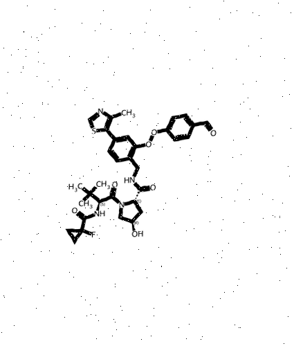 Cc1ncsc1-c1ccc(CNC(=O)[C@@H]2C[C@@H](O)CN2C(=O)[C@@H](NC(=O)C2(F)CC2)C(C)(C)C)c(OOc2ccc(C=O)cc2)c1